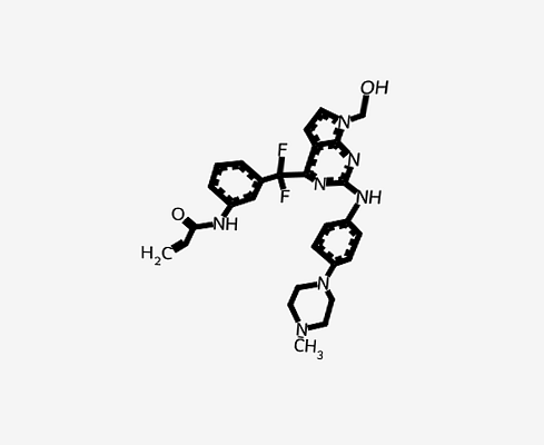 C=CC(=O)Nc1cccc(C(F)(F)c2nc(Nc3ccc(N4CCN(C)CC4)cc3)nc3c2ccn3CO)c1